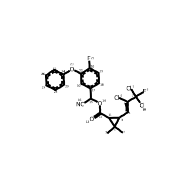 CC1(C)C(C=C(Cl)C(F)(Cl)Cl)C1C(=O)OC(C#N)c1ccc(F)c(Oc2ccccc2)c1